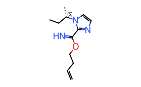 C=CCCOC(=N)c1nccn1[C@@H](C)CC